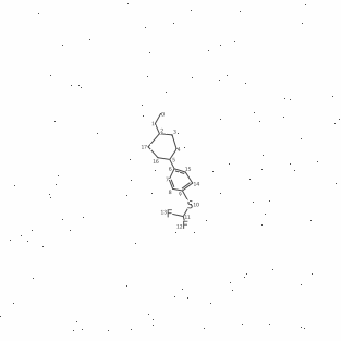 CCC1CCC(c2ccc(SC(F)F)cc2)CC1